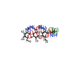 CC[C@@H]1O[C@H](O[C@H]2[C@H](C)C(C)[C@H](O[C@@H]3[C@H](CC)OC(OC(=N)C(Cl)(Cl)Cl)C(N=[N+]=[N-])[C@H]3C)O[C@H]2C(C)=O)C(N=[N+]=[N-])[C@@H](C)[C@@H]1C